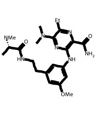 CCc1nc(C(N)=O)c(Nc2cc(CCNC(=O)[C@H](C)NC)cc(OC)c2)nc1N(C)C